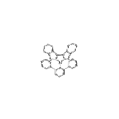 c1ccc(-c2cccc(-c3ccccc3)c2-n2c3sc4ccccc4c3c3c4ccccc4sc32)cc1